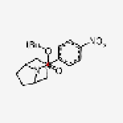 CC(C)(C)OC(=O)N1C2CCC1CN(c1ccc([N+](=O)[O-])cc1)C2